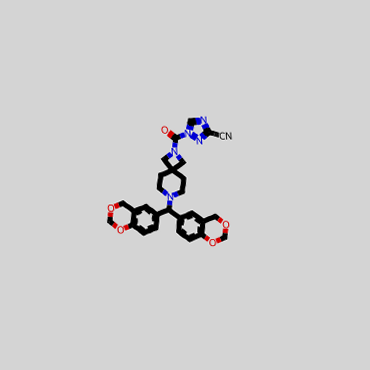 N#Cc1ncn(C(=O)N2CC3(CCN(C(c4ccc5c(c4)COCO5)c4ccc5c(c4)COCO5)CC3)C2)n1